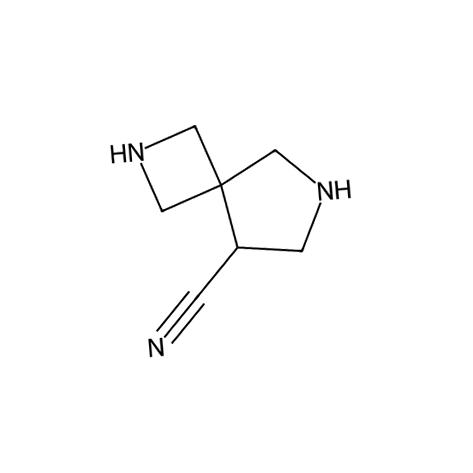 N#CC1CNCC12CNC2